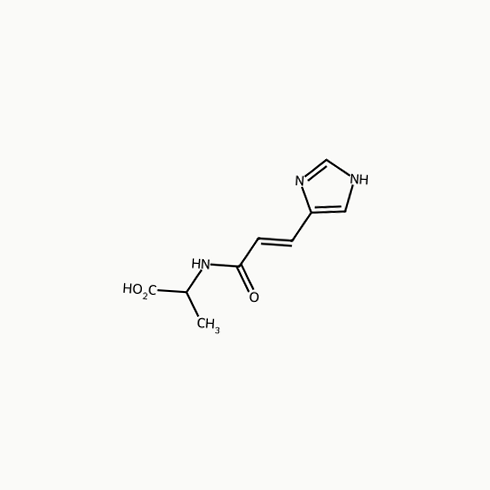 CC(NC(=O)C=Cc1c[nH]cn1)C(=O)O